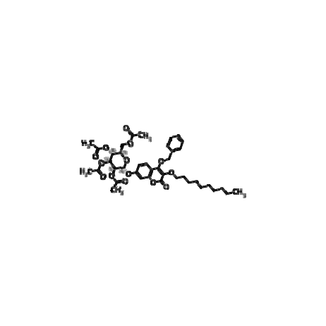 CCCCCCCCCCOc1c(OCc2ccccc2)c2ccc(O[C@H]3O[C@H](COC(C)=O)[C@@H](OC(C)=O)[C@H](OC(C)=O)[C@@H]3OC(C)=O)cc2oc1=O